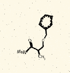 CNC(=O)C(C)COCc1ccccc1